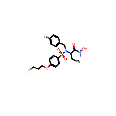 CC(C)CC(C(=O)NO)N(Cc1ccc(F)cc1)S(=O)(=O)c1ccc(OCCCF)cc1